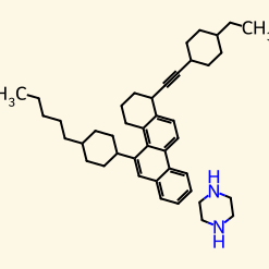 C1CNCCN1.CCCCCC1CCC(c2cc3ccccc3c3ccc4c(c23)CCCC4C#CC2CCC(CC)CC2)CC1